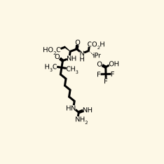 CC(C)[C@H](NC(=O)[C@H](CC(=O)O)NC(=O)C(C)(C)CCCCCCNC(=N)N)C(=O)O.O=C(O)C(F)(F)F